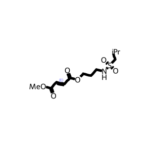 COC(=O)/C=C/C(=O)OCCCNS(=O)(=O)CC(C)C